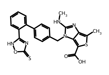 CNc1nc2c(C)sc(C(=O)O)c2n1Cc1ccc(-c2ccccc2-c2nc(=S)o[nH]2)cc1